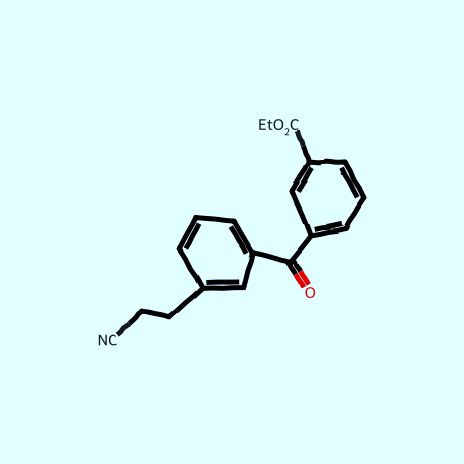 CCOC(=O)c1cccc(C(=O)c2cccc(CCC#N)c2)c1